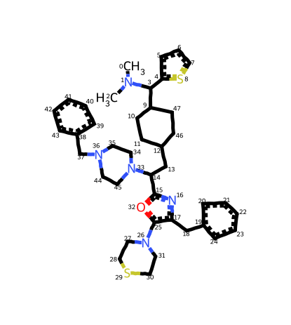 CN(C)C(c1cccs1)C1CCC(CC(c2nc(Cc3ccccc3)c(N3CCSCC3)o2)N2CCN(Cc3ccccc3)CC2)CC1